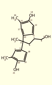 Cc1cc(C(C)(CCCO)c2ccc(O)c(C)c2)ccc1O